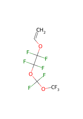 C=COC(F)(F)C(F)(F)OC(F)(F)OC(F)(F)F